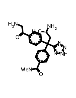 CNC(=O)c1ccc(C(C[C@@H](C)N)(c2ccc(C(=O)CN)cc2)c2nn[nH]n2)cc1